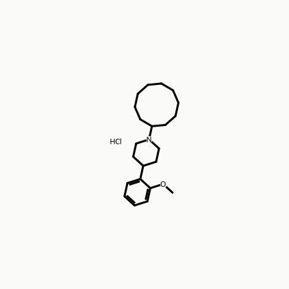 COc1ccccc1C1CCN(C2CCCCCCCCC2)CC1.Cl